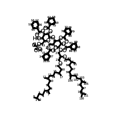 CC(C)CCCC(C)CCCC(C)CCCC(C)CCOCC(CO[C@@H]1OC(COC(=O)c2ccccc2)[C@@H](O[C@@H]2OC(COS(=O)(=O)O)[C@H](O)C(OC(=O)c3ccccc3)[C@@H]2OC(=O)c2ccccc2)C(OC(=O)c2ccccc2)[C@@H]1OC(=O)c1ccccc1)OCCC(C)CCCC(C)CCCC(C)CCCC(C)C